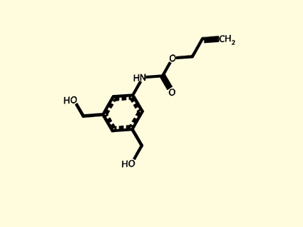 C=CCOC(=O)Nc1cc(CO)cc(CO)c1